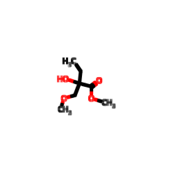 CCC(O)(COC)C(=O)OC